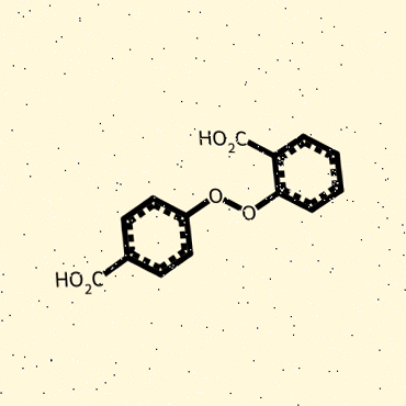 O=C(O)c1ccc(OOc2ccccc2C(=O)O)cc1